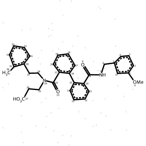 COc1cccc(CNC(=O)c2ccccc2-c2ccccc2C(=O)N(CCC(=O)O)CCc2ccccc2C)c1